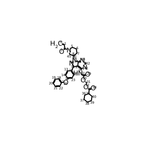 C=CC(=O)N1CCC[C@@H](n2nc(-c3ccc(Oc4ccccc4)cc3)c3c(NC(=O)OCOC(=O)C4CCCCC4)ncnc32)C1